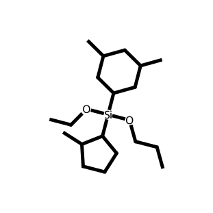 CCCO[Si](OCC)(C1CC(C)CC(C)C1)C1CCCC1C